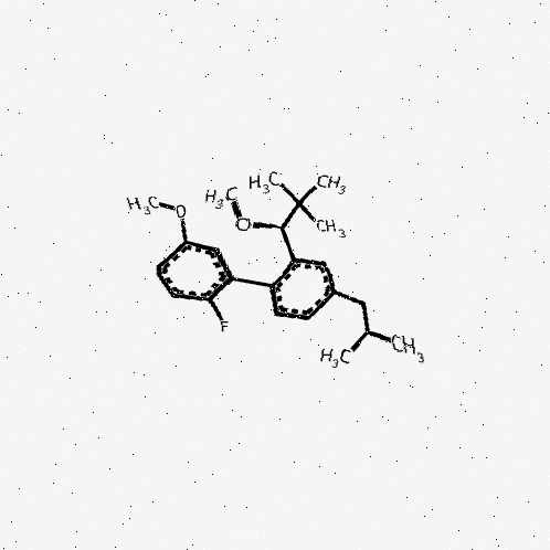 COc1ccc(F)c(-c2ccc(CC(C)C)cc2[C@@H](OC)C(C)(C)C)c1